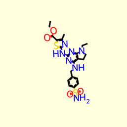 CCOC(=O)c1sc(Nc2nc(NCc3ccc(S(N)(=O)=O)cc3)c3c(n2)N(CC)CC3)nc1C